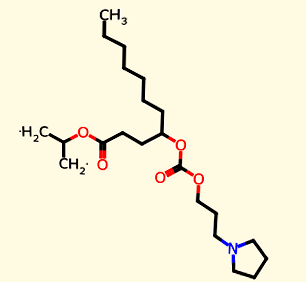 [CH2]C([CH2])OC(=O)CCC(CCCCCCC)OC(=O)OCCCN1CCCC1